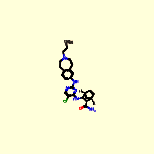 COCCN1CCc2ccc(Nc3ncc(Cl)c(N[C@@H]4[C@H](C(N)=O)[C@H]5C=C[C@@H]4C5)n3)cc2CC1